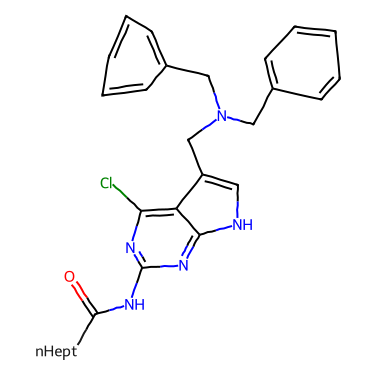 CCCCCCCC(=O)Nc1nc(Cl)c2c(CN(Cc3ccccc3)Cc3ccccc3)c[nH]c2n1